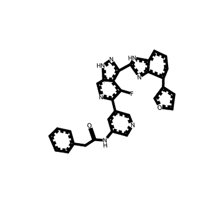 O=C(Cc1ccccc1)Nc1cncc(-c2ncc3[nH]nc(-c4nc5c(-c6ccoc6)cccc5[nH]4)c3c2F)c1